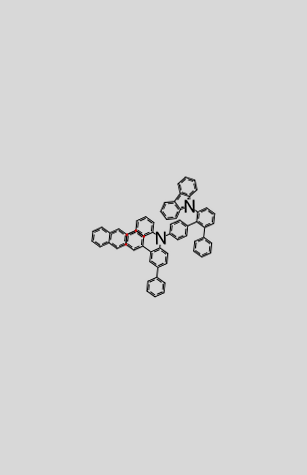 c1ccc(-c2ccc(N(c3ccc(-c4c(-c5ccccc5)cccc4-n4c5ccccc5c5ccccc54)cc3)c3cccc(-c4ccc5ccccc5c4)c3)c(-c3ccccc3)c2)cc1